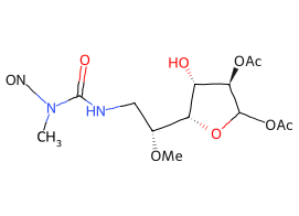 CO[C@H](CNC(=O)N(C)N=O)[C@H]1OC(OC(C)=O)[C@H](OC(C)=O)[C@H]1O